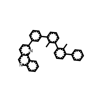 Cc1c(-c2ccccc2)cccc1-c1cccc(-c2cccc(-c3ccc4cnc5ccccc5c4n3)c2)c1C